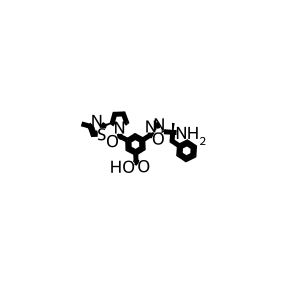 Cc1csc([C@H]2CCCN2C(=O)c2cc(C(=O)O)cc(-c3nnc([C@](C)(N)Cc4ccccc4)o3)c2)n1